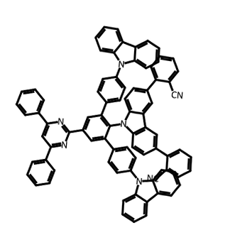 N#Cc1ccccc1-c1ccc2c(c1)c1cc(-c3ccccc3C#N)ccc1n2-c1c(-c2ccc(-n3c4ccccc4c4ccccc43)cc2)cc(-c2nc(-c3ccccc3)cc(-c3ccccc3)n2)cc1-c1ccc(-n2c3ccccc3c3ccccc32)cc1